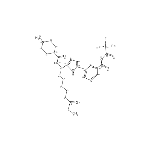 CCC(=O)CCCCC[C@H](NC(=O)C1CCN(C)CC1)C1=[N+]C=C(c2cccc(C(=O)OC(=O)C(F)(F)F)c2)N1